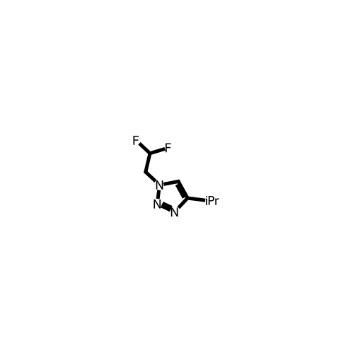 CC(C)c1cn(CC(F)F)nn1